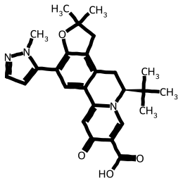 Cn1nccc1-c1cc2c(c3c1OC(C)(C)C3)C[C@@H](C(C)(C)C)n1cc(C(=O)O)c(=O)cc1-2